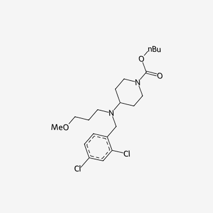 CCCCOC(=O)N1CCC(N(CCCOC)Cc2ccc(Cl)cc2Cl)CC1